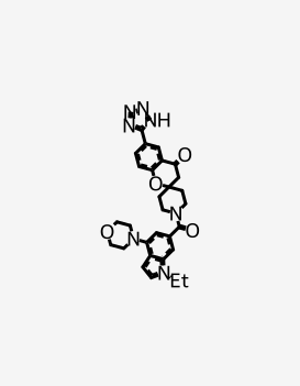 CCn1ccc2c(N3CCOCC3)cc(C(=O)N3CCC4(CC3)CC(=O)c3cc(-c5nnn[nH]5)ccc3O4)cc21